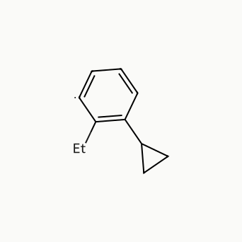 CCc1[c]cccc1C1CC1